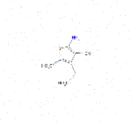 N#Cc1c(N)sc(C(=O)O)c1CC(=O)O